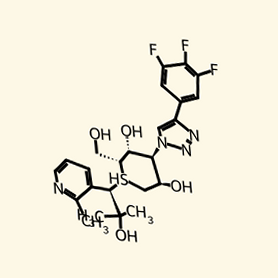 Cc1ncccc1[C@@H]([SH]1C[C@H](O)[C@H](n2cc(-c3cc(F)c(F)c(F)c3)nn2)[C@@H](O)[C@H]1CO)C(C)(C)O